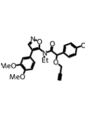 C#CCOC(C(=O)N(CC)c1oncc1-c1ccc(OC)c(OC)c1)c1ccc(Cl)cc1